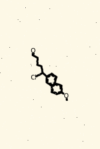 COc1ccc2cc(C(Cl)CCCC=O)ccc2c1